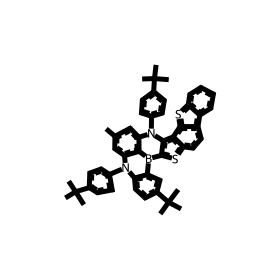 Cc1cc2c3c(c1)N(c1ccc(C(C)(C)C)cc1)c1c(sc4ccc5c6ccccc6sc5c14)B3c1cc(C(C)(C)C)ccc1N2c1ccc(C(C)(C)C)cc1